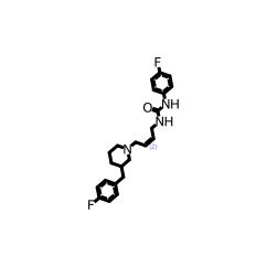 O=C(NC/C=C\CN1CCCC(Cc2ccc(F)cc2)C1)Nc1ccc(F)cc1